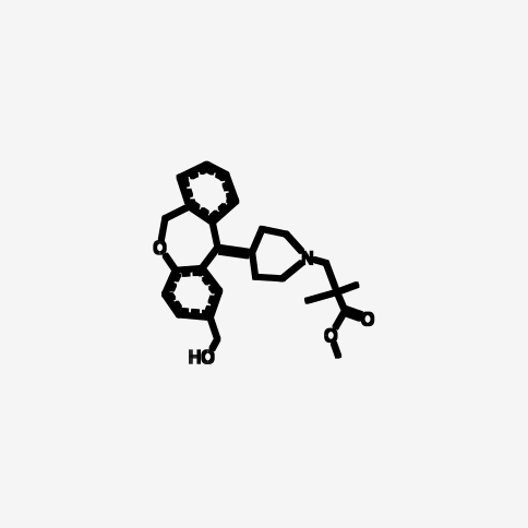 COC(=O)C(C)(C)CN1CCC(=C2c3ccccc3COc3ccc(CO)cc32)CC1